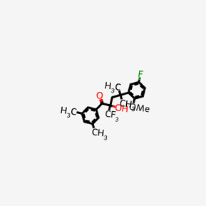 COc1ccc(F)cc1C(C)(C)CC(O)(C(=O)c1cc(C)cc(C)c1)C(F)(F)F